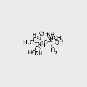 Cc1cccc(C)c1-c1cc2nc(n1)NCc1cccc(c1)C1C[C@@H](CN(C3CCC(O)(O)CC3)[C@@H](CC(C)C)C1)O2